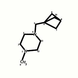 CN1CCN(CC23CC(C2)C3)CC1